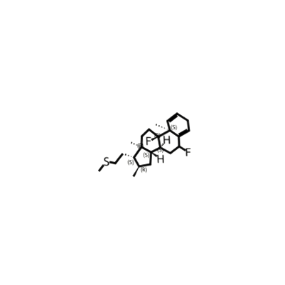 CSCC[C@H]1[C@H](C)C[C@H]2[C@@H]3CC(F)C4=CCC=C[C@]4(C)[C@@]3(F)CC[C@]12C